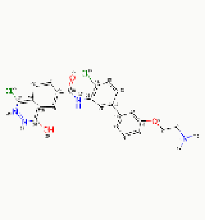 CN(C)CCOc1cccc(-c2ccc(Cl)c(NC(=O)c3ccc4c(Cl)nnc(O)c4c3)c2)c1